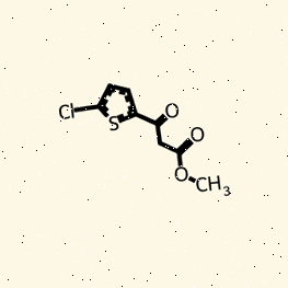 COC(=O)CC(=O)c1ccc(Cl)s1